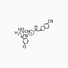 CC(C)(O)c1nc2cc(Cl)ccc2n1[C@H]1CC[C@@H](NC[C@@H]2Cc3ccc(C#N)cc3C2)CC1